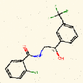 O=C(NC[C@H](O)c1cccc(C(F)(F)F)c1)c1ccccc1Cl